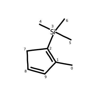 CC1=C([Si](C)(C)C)CC=C1